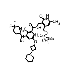 CCN(c1cc(O[C@H]2C[C@H](N3CCCCC3)C2)cc(C(=O)NCc2c(CO[Si](C)(C)C(C)(C)C)cc(C)[nH]c2=O)c1C)C1CCC(F)(F)CC1